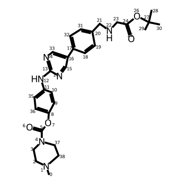 CN1CCN(C(=O)Oc2ccc(Nc3ncc(-c4ccc(CNCC(=O)OC(C)(C)C)cc4)cn3)cc2)CC1